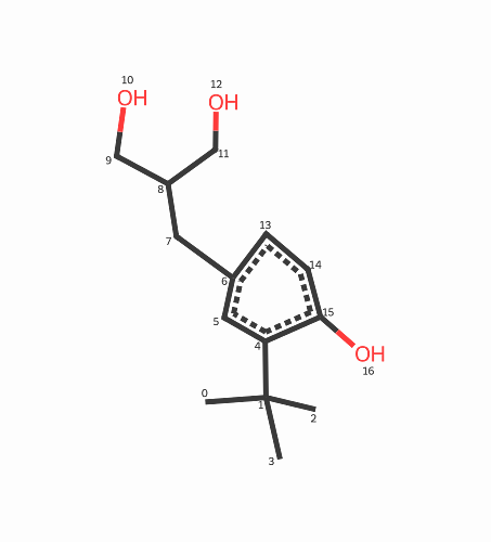 CC(C)(C)c1cc(CC(CO)CO)ccc1O